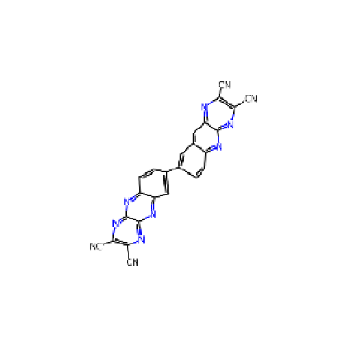 N#Cc1nc2cc3cc(-c4ccc5nc6nc(C#N)c(C#N)nc6nc5c4)ccc3nc2nc1C#N